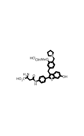 COc1cc(Cc2c(-c3ccc(NC(=O)CC(N)C(=O)O)cc3)sc3cc(O)ccc23)ccc1CN1CCCC1.Cl.Cl